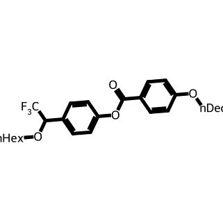 CCCCCCCCCCOc1ccc(C(=O)Oc2ccc(C(OCCCCCC)C(F)(F)F)cc2)cc1